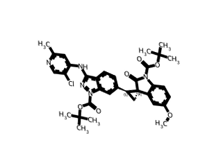 COc1ccc2c(c1)[C@]1(C[C@H]1c1ccc3c(Nc4cc(C)ncc4Cl)nn(C(=O)OC(C)(C)C)c3c1)C(=O)N2C(=O)OC(C)(C)C